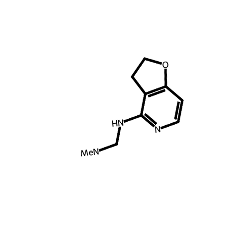 CNCNc1nccc2c1CCO2